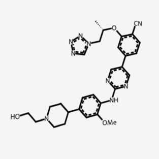 COc1cc(C2CCN(CCO)CC2)ccc1Nc1ncc(-c2ccc(C#N)c(O[C@@H](C)Cn3cnnn3)c2)cn1